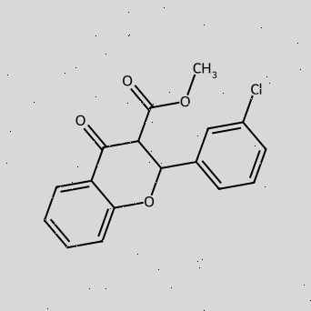 COC(=O)C1C(=O)c2ccccc2OC1c1cccc(Cl)c1